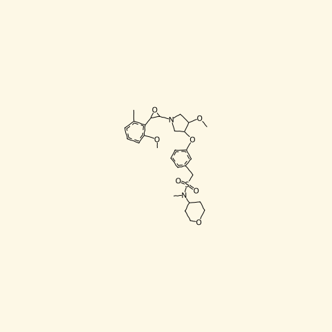 COc1cccc(C)c1C1OC1N1CC(OC)C(Oc2cccc(CS(=O)(=O)N(C)C3CCOCC3)c2)C1